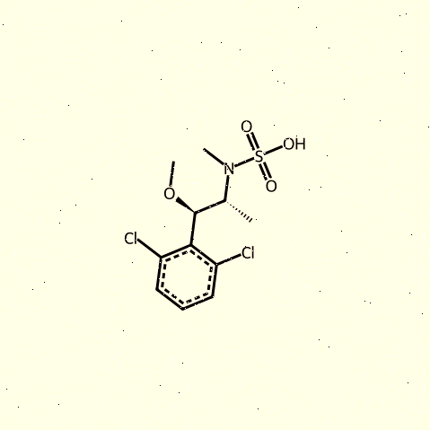 CO[C@H](c1c(Cl)cccc1Cl)[C@@H](C)N(C)S(=O)(=O)O